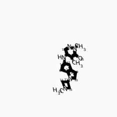 Cc1c(Nc2ccc3c(ccn3C3CN(C)C3)c2)cnn(C)c1=O